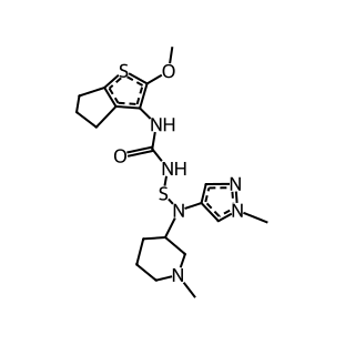 COc1sc2c(c1NC(=O)NSN(c1cnn(C)c1)C1CCCN(C)C1)CCC2